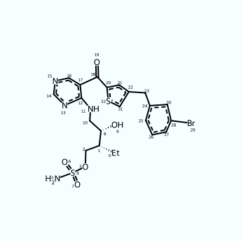 CC[C@H](COS(N)(=O)=O)[C@@H](O)CNc1ncncc1C(=O)c1cc(Cc2cccc(Br)c2)cs1